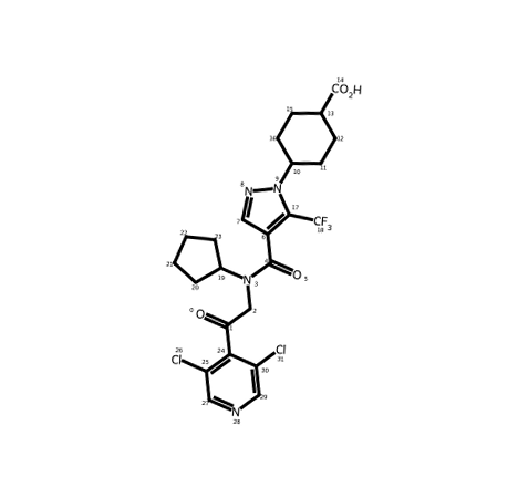 O=C(CN(C(=O)c1cnn(C2CCC(C(=O)O)CC2)c1C(F)(F)F)C1CCCC1)c1c(Cl)cncc1Cl